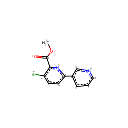 COC(=O)c1nc(-c2cccnc2)ccc1Br